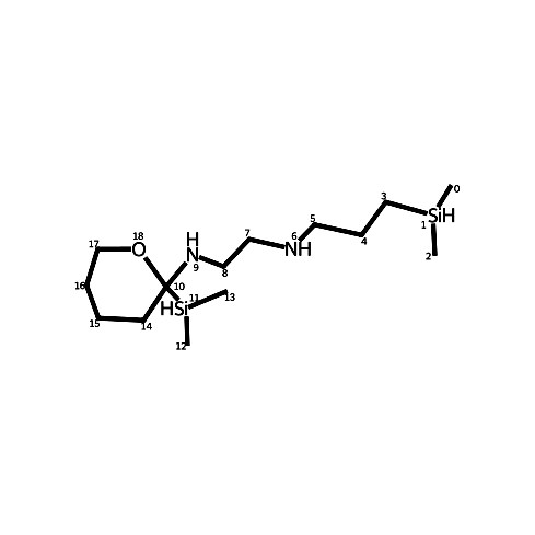 C[SiH](C)CCCNCCNC1([SiH](C)C)CCCCO1